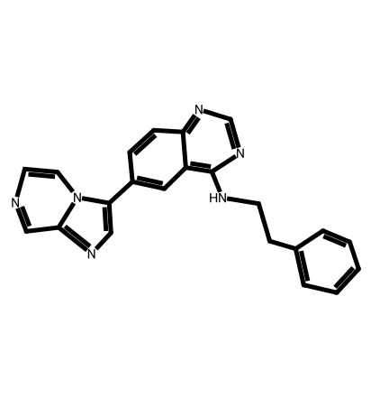 c1ccc(CCNc2ncnc3ccc(-c4cnc5cnccn45)cc23)cc1